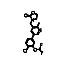 Cc1ncc(-c2ccc(Cl)c(OC(F)F)c2)cc1CN1CCOC1=O